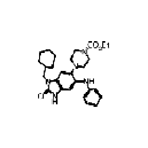 CCOC(=O)N1CCN(c2cc3c(cc2Nc2ccccc2)[nH]c(=O)n3CC2CCCCC2)CC1